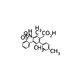 Cc1ccc(-c2c(C)c3c(c(C)c2CC(=O)O)NS(=O)(=O)c2ccccc2-3)cc1